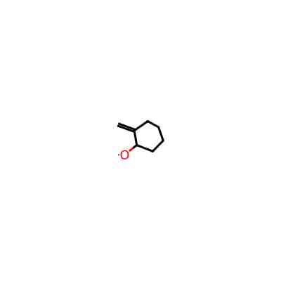 C=C1CCCCC1[O]